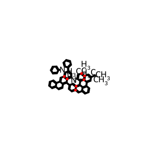 CC(C)(C)c1cc(-c2cccc3cccc(-c4ccccc4N(c4ccc5c(c4)c4ccccc4n5-c4ccccc4)c4ccccc4-c4cccc5c4ccc4ccccc45)c23)cc(C(C)(C)C)c1